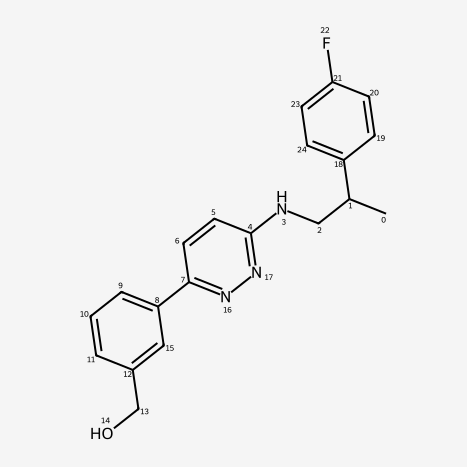 CC(CNc1ccc(-c2cccc(CO)c2)nn1)c1ccc(F)cc1